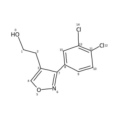 OCCc1conc1-c1ccc(Cl)c(Cl)c1